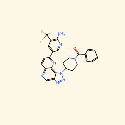 Nc1ncc(-c2ccc3ncc4nnn(C5CCN(C(=O)c6ccccc6)CC5)c4c3n2)cc1C(F)(F)F